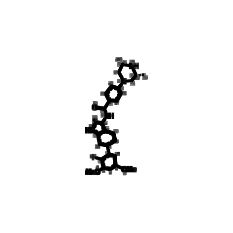 COc1cc(OC)c(F)c(-c2ccc3c(NC(=O)c4ccc(N5C[C@@H](C)N[C@@H](C)C5)cc4)n[nH]c3c2)c1